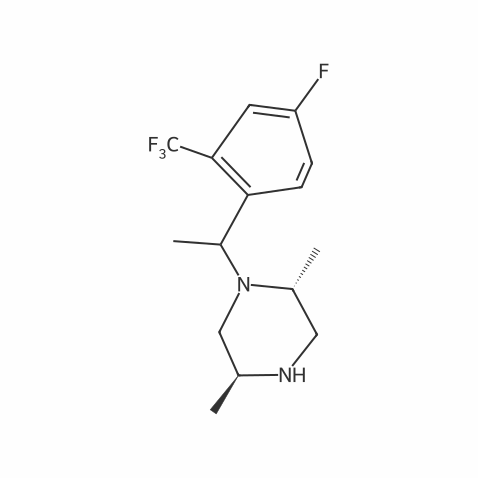 CC(c1ccc(F)cc1C(F)(F)F)N1C[C@H](C)NC[C@H]1C